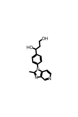 Cc1nc2cnccc2n1-c1ccc(C(O)CCO)cc1